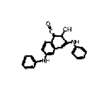 O=C=C1c2ccc(Nc3ccccc3)cc2C=C(Nc2ccccc2)C1O